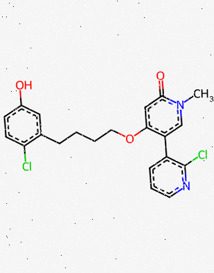 Cn1cc(-c2cccnc2Cl)c(OCCCCc2cc(O)ccc2Cl)cc1=O